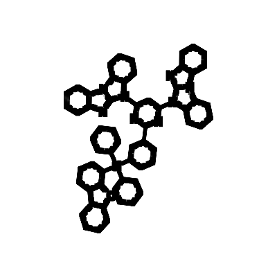 c1ccc([Si](c2ccccc2)(c2cccc(-c3nc(-n4c5ccccc5n5c6ccccc6nc45)cc(-n4c5ccccc5n5c6ccccc6nc45)n3)c2)c2cccc3c2oc2ccccc23)cc1